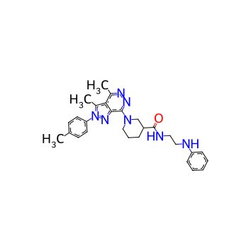 Cc1ccc(-n2nc3c(N4CCCC(C(=O)NCCNc5ccccc5)C4)nnc(C)c3c2C)cc1